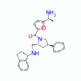 C[C@H](N)c1ccc(C(=O)N2C[C@@H](c3ccccc3)C[C@H]2CNC2CCc3ccccc32)o1